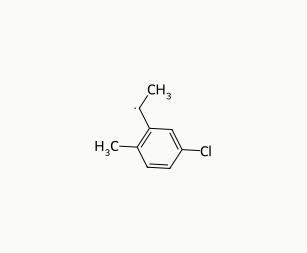 C[CH]c1cc(Cl)ccc1C